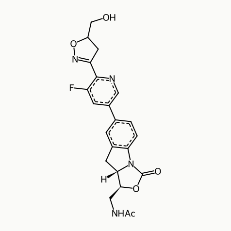 CC(=O)NC[C@@H]1OC(=O)N2c3ccc(-c4cnc(C5=NOC(CO)C5)c(F)c4)cc3C[C@@H]12